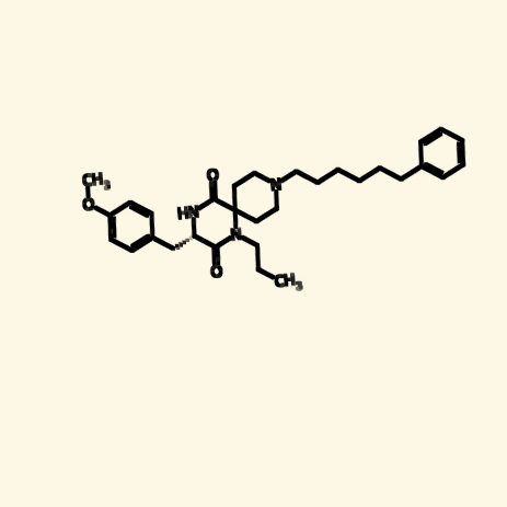 CCCN1C(=O)[C@H](Cc2ccc(OC)cc2)NC(=O)C12CCN(CCCCCCc1ccccc1)CC2